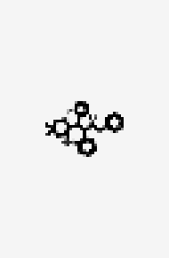 Cn1cccc1C1C2=C(CC(C)(C)CC2=O)Nc2ccccc2C1C(=O)Cc1ccccc1